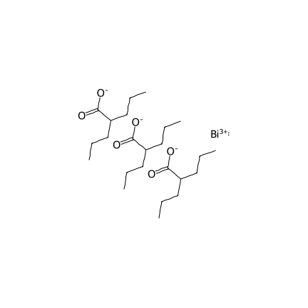 CCCC(CCC)C(=O)[O-].CCCC(CCC)C(=O)[O-].CCCC(CCC)C(=O)[O-].[Bi+3]